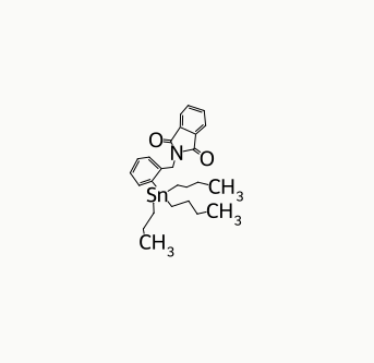 CCC[CH2][Sn]([CH2]CCC)([CH2]CCC)[c]1ccccc1CN1C(=O)c2ccccc2C1=O